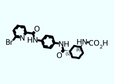 O=C(O)N[C@@H]1CCC[C@H](C(=O)Nc2ccc(NC(=O)c3cccc(Br)n3)cc2)C1